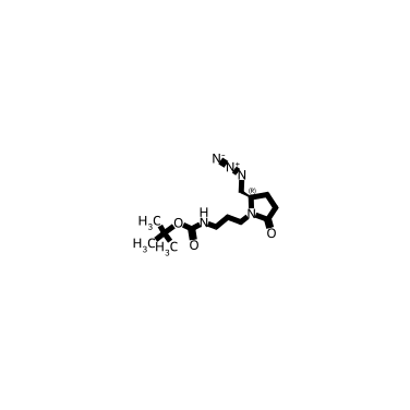 CC(C)(C)OC(=O)NCCCN1C(=O)CC[C@@H]1CN=[N+]=[N-]